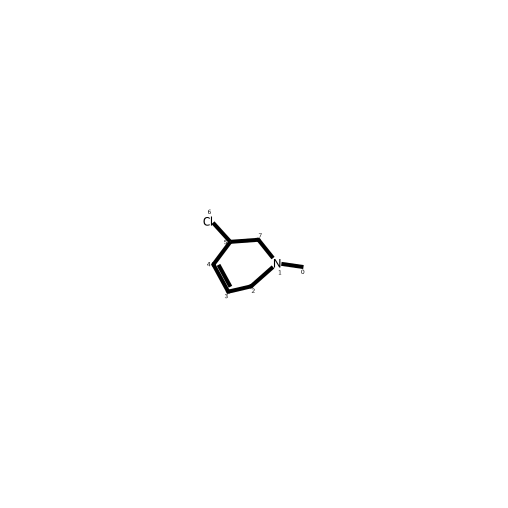 CN1CC=CC(Cl)C1